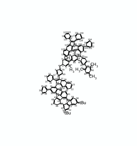 CC1=CC(Cc2ccc(-c3c(-c4ccccc4)n4c5c(c6ccccc6cc35)B3c5c-4cc(-c4ccccc4)cc5-n4c5c(c6c(-n7c8ccc(C(C)(C)C)cc8c8cc(C(C)(C)C)ccc87)ccc3c64)CCC=C5)cc2)CC(C)=C1c1cc2c3c(c1)c1cc(-c4c(C)cc(C)cc4C)ccc1n3-c1cc(-c3ccccc3)cc3c1B2c1c2ccccc2cc2c(-c4ccccc4)c(-c4ccccc4)n-3c12